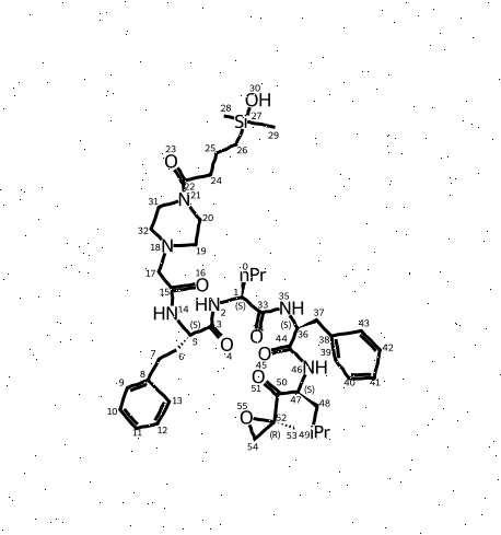 CCC[C@H](NC(=O)[C@H](CCc1ccccc1)NC(=O)CN1CCN(C(=O)CCC[Si](C)(C)O)CC1)C(=O)N[C@@H](Cc1ccccc1)C(=O)N[C@@H](CC(C)C)C(=O)[C@@]1(C)CO1